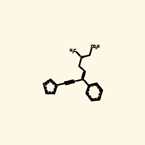 CN(CC=C(C#Cc1ccsc1)c1ccccc1)CC(=O)O